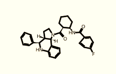 O=C(N[C@@H]1CCCC[C@@H]1C(=O)N1CC[C@H]2[C@H](c3ccccc3)Nc3ccccc3[C@@H]21)c1ccc(F)cc1